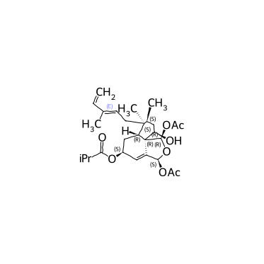 C=C/C(C)=C/C[C@]1(C)[C@H]2C[C@H](OC(=O)C(C)C)C=C3[C@H](OC(C)=O)O[C@H](OC(C)=O)[C@@]32[C@H](O)C[C@@H]1C